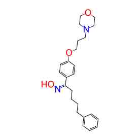 ON=C(CCCCc1ccccc1)c1ccc(OCCCN2CCOCC2)cc1